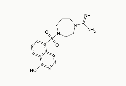 N=C(N)N1CCCN(S(=O)(=O)c2cccc3c(O)nccc23)CC1